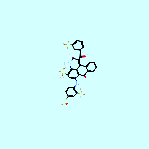 O=C(c1cccc(S(=O)(=O)O)c1)c1c2c3c(c(Nc4ccc(S(=O)(=O)O)cc4S(=O)(=O)O)cc(S(=O)(=O)O)c3[nH]c1=O)C(=O)c1ccccc1-2